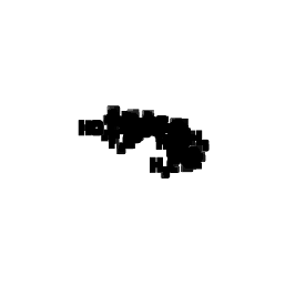 C[C@@H](OC(=O)Nc1c(-c2cc3sc(-c4ccc(C5(C(=O)O)CC5)cc4OC(F)(F)F)cc3s2)cnn1C)c1ccccc1